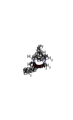 C/C1=C/C=C/[C@H](C)[C@H](O)[C@@H](C)[C@@H](O)[C@@H](C)[C@H](OC(=O)CC(=O)N2CCN(Cc3c(C)noc3C)CC2)[C@H](C)[C@@H](C(C)C)/C=C/O[C@@]2(C)Oc3c(C)c(O)c4c(c3C2=O)C2=NC3(CCN(CC(C)C)CC3)NC2=C(NC1=O)C4=O